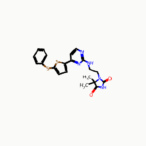 CC1(C)C(=O)NC(=O)N1CCNc1nccc(-c2ccc(Sc3ccccc3)s2)n1